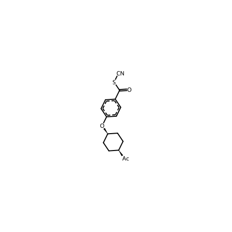 CC(=O)[C@H]1CC[C@@H](Oc2ccc(C(=O)SC#N)cc2)CC1